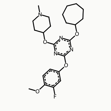 COc1ccc(Oc2nc(OC3CCCCCC3)nc(OC3CCN(C)CC3)n2)cc1F